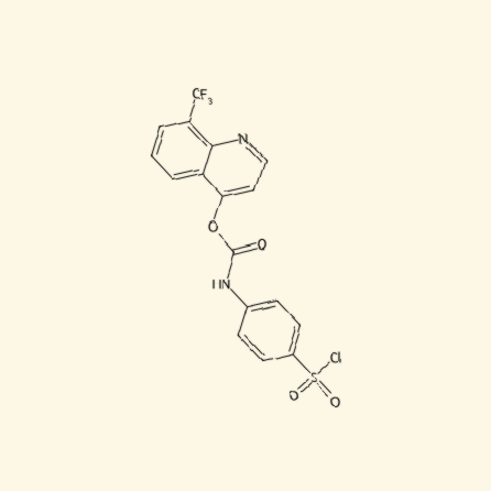 O=C(Nc1ccc(S(=O)(=O)Cl)cc1)Oc1ccnc2c(C(F)(F)F)cccc12